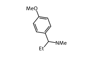 CCC(NC)c1ccc(OC)cc1